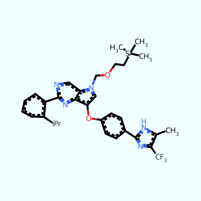 Cc1[nH]c(-c2ccc(Oc3cn(COCC[Si](C)(C)C)c4cnc(-c5ccccc5C(C)C)nc34)cc2)nc1C(F)(F)F